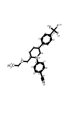 CCOCC1CCC(c2ccc(C(F)(F)F)cc2)CN1c1ccc(C#N)cc1